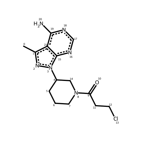 Cc1nn(C2CCCN(C(=O)CCCl)C2)c2ncnc(N)c12